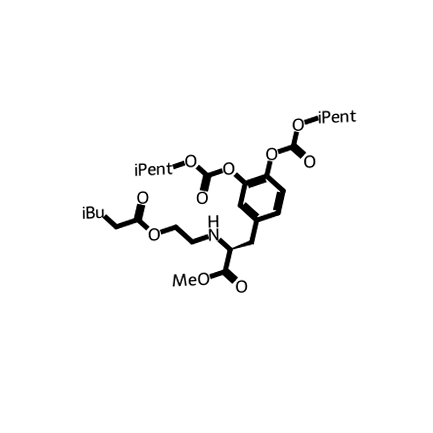 CCCC(C)OC(=O)Oc1ccc(C[C@H](NCCOC(=O)CC(C)CC)C(=O)OC)cc1OC(=O)OC(C)CCC